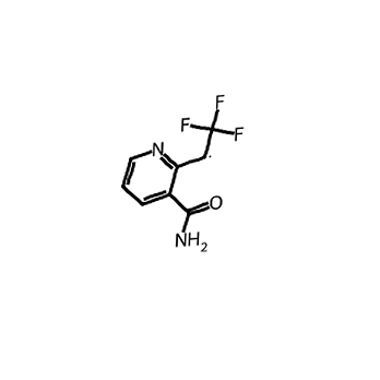 NC(=O)c1cccnc1[CH]C(F)(F)F